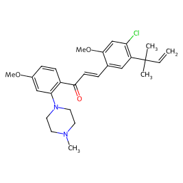 C=CC(C)(C)c1cc(C=CC(=O)c2ccc(OC)cc2N2CCN(C)CC2)c(OC)cc1Cl